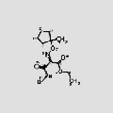 CCOC(=O)/C(=N\OC1(C)CCCC1)C(=O)CBr